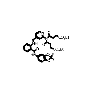 CCOC(=O)CCC(=O)N(C(=O)CCC(=O)OCC)c1cc(CNc2ccccc2C(=O)Nc2ccc3c(c2)OC(F)(F)O3)ccn1